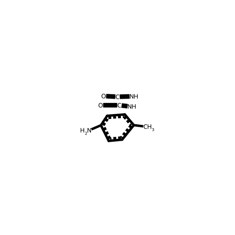 Cc1ccc(N)cc1.N=C=O.N=C=O